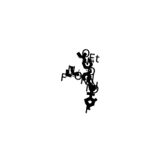 C=CC(=O)N1CC[C@H](Oc2cc(O[C@@H](C)[C@@H]3C[C@@H](F)CN3C)nc(-c3noc(C(C)(C)c4ccc(F)cc4C)n3)n2)C[C@H]1CC